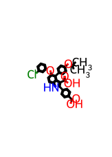 CC(C)Oc1ccc(-c2c(Oc3cccc(Cl)c3)ccc3[nH]c(-c4ccc(C(=O)O)cc4)c(C(=O)O)c23)cc1